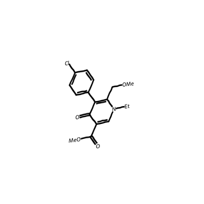 CCn1cc(C(=O)OC)c(=O)c(-c2ccc(Cl)cc2)c1COC